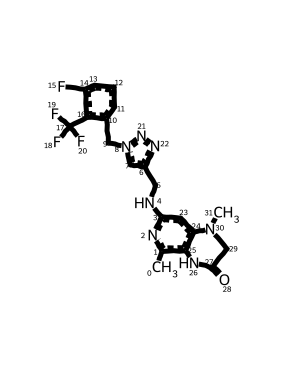 Cc1nc(NCc2cn(Cc3cccc(F)c3C(F)(F)F)nn2)cc2c1NC(=O)CN2C